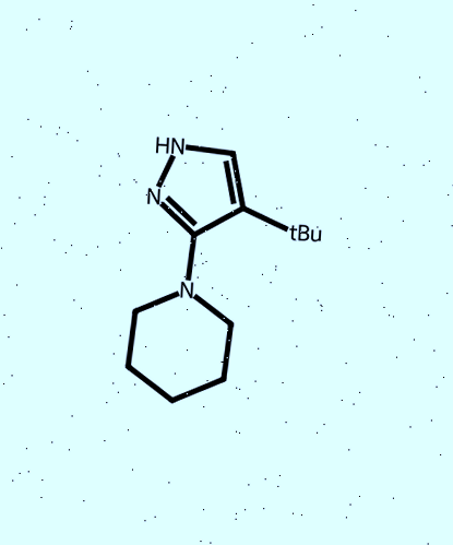 CC(C)(C)c1c[nH]nc1N1CCCCC1